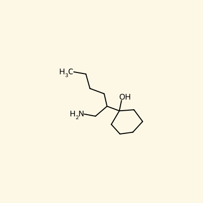 CCCCC(CN)C1(O)CCCCC1